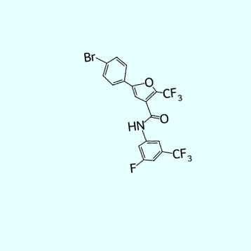 O=C(Nc1cc(F)cc(C(F)(F)F)c1)c1cc(-c2ccc(Br)cc2)oc1C(F)(F)F